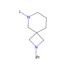 CC(C)N1CC2(CCCN(I)C2)C1